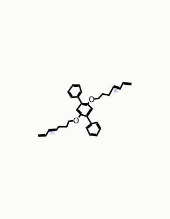 C=C/C=C/CCCOc1cc(-c2ccccc2)c(OCCC/C=C/C=C)cc1-c1ccccc1